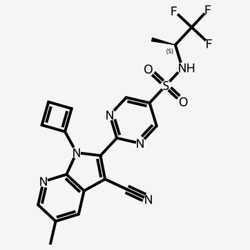 Cc1cnc2c(c1)c(C#N)c(-c1ncc(S(=O)(=O)N[C@@H](C)C(F)(F)F)cn1)n2C1=CC=C1